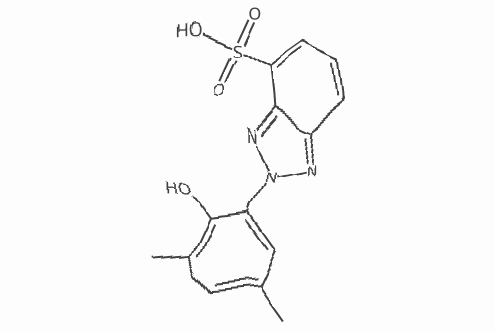 Cc1cc(C)c(O)c(-n2nc3cccc(S(=O)(=O)O)c3n2)c1